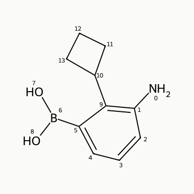 Nc1cccc(B(O)O)c1C1CCC1